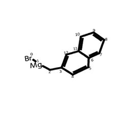 [Br][Mg][CH2]c1ccc2ccccc2c1